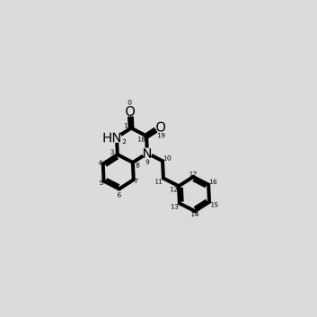 O=C1NC2=CC=CCC2N(CCc2ccccc2)C1=O